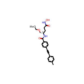 COCOC[C@H](CCC(=O)NO)NC(=O)c1ccc(C#Cc2ccc(C)cc2)cc1